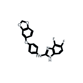 Fc1ccc2[nH]c(Nc3ccc(Oc4ccc5c(c4)OCO5)cc3)nc2c1F